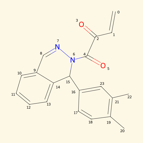 C=CC(=O)C(=O)N1N=Cc2ccccc2C1c1ccc(C)c(C)c1